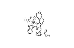 CNc1nc2ccccc2n1-c1nc(Cn2nncc2C(=O)O)c2c(n1)N1C(COC[C@H]1C)CO2